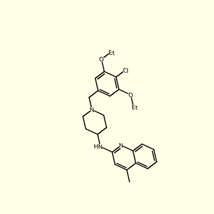 CCOc1cc(CN2CCC(Nc3cc(C)c4ccccc4n3)CC2)cc(OCC)c1Cl